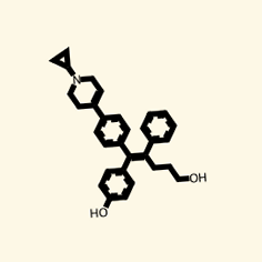 OCCC/C(=C(\c1ccc(O)cc1)c1ccc(C2=CCN(C3CC3)CC2)cc1)c1ccccc1